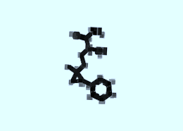 CC1(CCN(O)C(N)=O)CC1c1ccccc1